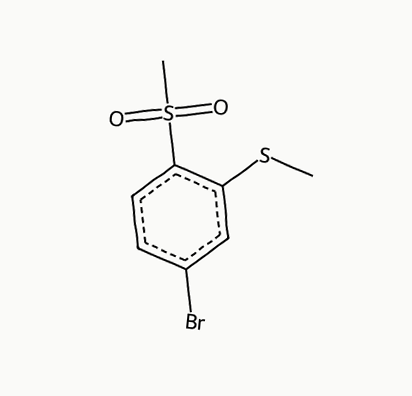 CSc1cc(Br)ccc1S(C)(=O)=O